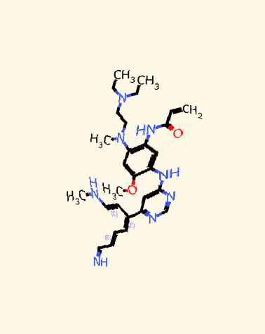 C=CC(=O)Nc1cc(Nc2cc(C(/C=C/NC)=C/C=C/C=N)ncn2)c(OC)cc1N(C)CCN(CC)CC